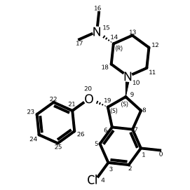 Cc1cc(Cl)cc2c1C[C@H](N1CCC[C@@H](N(C)C)C1)[C@H]2Oc1ccccc1